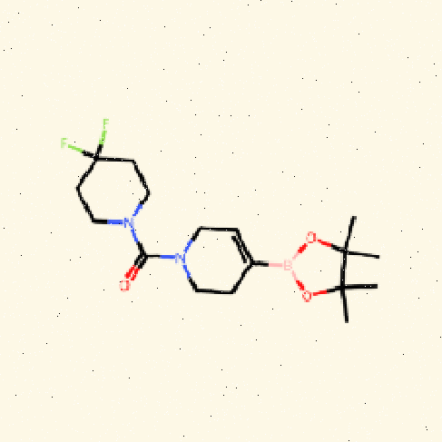 CC1(C)OB(C2=CCN(C(=O)N3CCC(F)(F)CC3)CC2)OC1(C)C